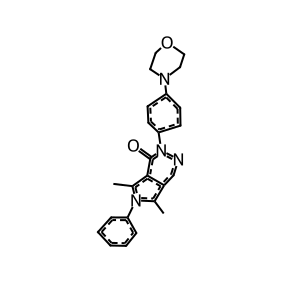 Cc1c2cnn(-c3ccc(N4CCOCC4)cc3)c(=O)c2c(C)n1-c1ccccc1